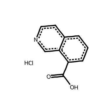 Cl.O=C(O)c1cccc2ccncc12